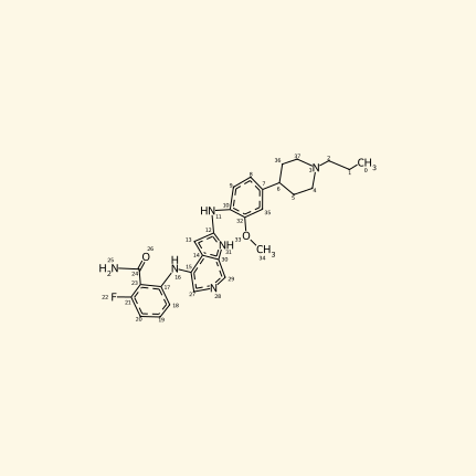 CCCN1CCC(c2ccc(Nc3cc4c(Nc5cccc(F)c5C(N)=O)cncc4[nH]3)c(OC)c2)CC1